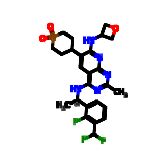 Cc1nc(N[C@H](C)c2cccc(C(F)F)c2F)c2cc(C3CCS(=O)(=O)CC3)c(NC3COC3)nc2n1